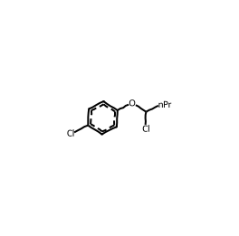 CCCC(Cl)Oc1ccc(Cl)cc1